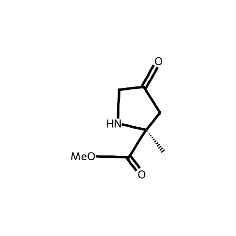 COC(=O)[C@]1(C)CC(=O)CN1